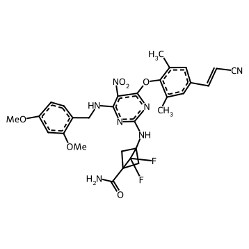 COc1ccc(CNc2nc(NC34CC(C(N)=O)(C3)C4(F)F)nc(Oc3c(C)cc(/C=C/C#N)cc3C)c2[N+](=O)[O-])c(OC)c1